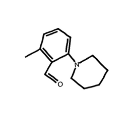 Cc1cccc(N2CCCCC2)c1C=O